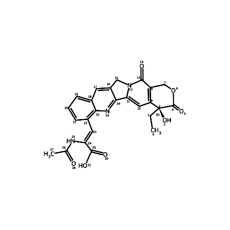 CC[C@@]1(O)C(=O)OCc2c1cc1n(c2=O)Cc2cc3cccc(C=C(NC(C)=O)C(=O)O)c3nc2-1